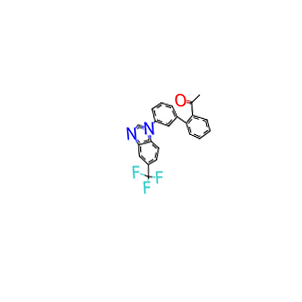 CC(=O)c1ccccc1-c1cccc(-n2cnc3cc(C(F)(F)F)ccc32)c1